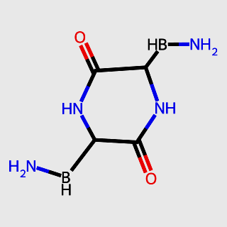 NBC1NC(=O)C(BN)NC1=O